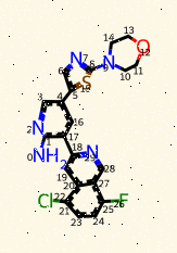 Nc1ncc(-c2cnc(N3CCOCC3)s2)cc1-c1cc2c(Cl)ccc(F)c2cn1